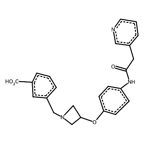 O=C(Cc1cccnc1)Nc1ccc(OC2CN(Cc3cccc(C(=O)O)c3)C2)cc1